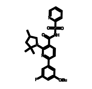 CC(C)COc1cc(F)cc(-c2ccc(C(=O)NS(=O)(=O)c3ccccn3)c(N3CC(C)CC3(C)C)n2)c1